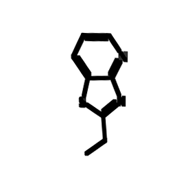 CCc1nc2ncccc2s1